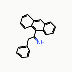 N=C(Cc1ccccc1)c1c2ccccc2cc2ccccc12